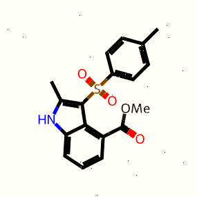 COC(=O)c1cccc2[nH]c(C)c(S(=O)(=O)c3ccc(C)cc3)c12